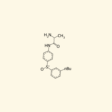 CCCCc1cccc([S+]([O-])c2ccc(NC(=O)C(C)N)cc2)c1